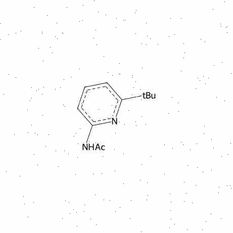 CC(=O)Nc1cccc(C(C)(C)C)n1